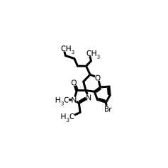 CCCCC(CC)C1CC2(N=C(CC)N(C)C2=O)c2cc(Br)ccc2O1